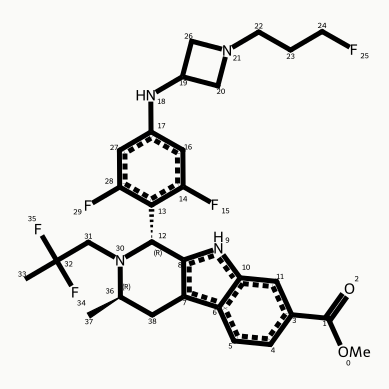 COC(=O)c1ccc2c3c([nH]c2c1)[C@@H](c1c(F)cc(NC2CN(CCCF)C2)cc1F)N(CC(C)(F)F)[C@H](C)C3